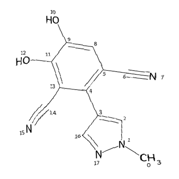 Cn1cc(-c2c(C#N)cc(O)c(O)c2C#N)cn1